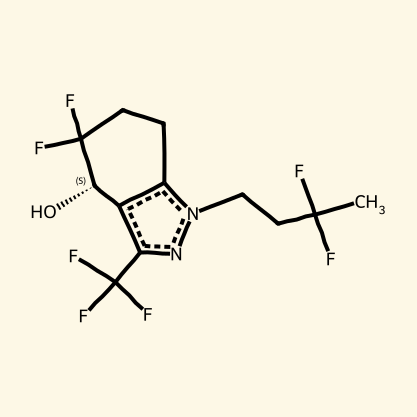 CC(F)(F)CCn1nc(C(F)(F)F)c2c1CCC(F)(F)[C@H]2O